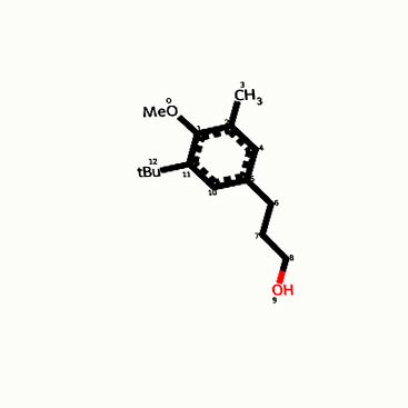 COc1c(C)cc(CCCO)cc1C(C)(C)C